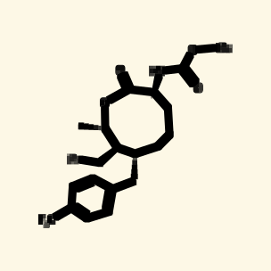 CC(C)C[C@@H]1[C@@H](Cc2ccc(C(F)(F)F)cc2)CCC[C@H](NC(=O)OC(C)(C)C)C(=O)O[C@H]1C